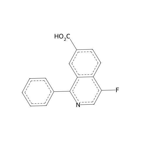 O=C(O)c1ccc2c(F)cnc(-c3ccccc3)c2c1